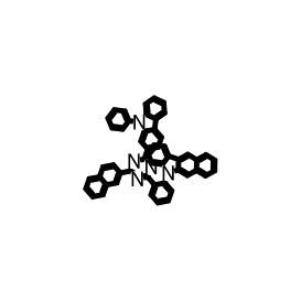 c1ccc(-n2c3ccccc3c3ccc(-c4nc(-c5ccc6ccccc6c5)nc(-c5ccccc5-n5c6ccccc6c6cc7ccccc7cc65)n4)cc32)cc1